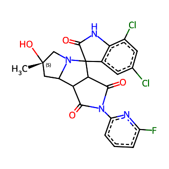 C[C@]1(O)CC2C3C(=O)N(c4cccc(F)n4)C(=O)C3C3(C(=O)Nc4c(Cl)cc(Cl)cc43)N2C1